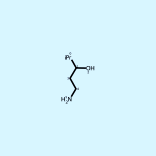 CC(C)C(O)CCN